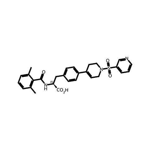 Cc1cccc(C)c1C(=O)N[C@@H](Cc1ccc(C2=CCN(S(=O)(=O)c3cccnc3)CC2)cc1)C(=O)O